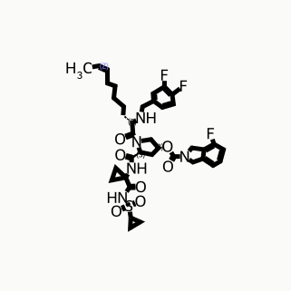 C/C=C\CCCCC[C@H](NCc1ccc(F)c(F)c1)C(=O)N1C[C@H](OC(=O)N2Cc3cccc(F)c3C2)C[C@H]1C(=O)NC1(C(=O)NS(=O)(=O)C2CC2)CC1